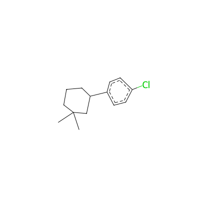 CC1(C)CCCC(c2ccc(Cl)cc2)C1